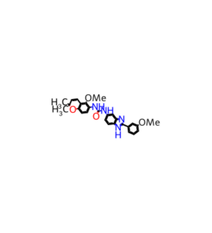 COc1cccc(-c2nc3cc(NC(=O)Nc4ccc5c(c4OC)C=CC(C)(C)O5)ccc3[nH]2)c1